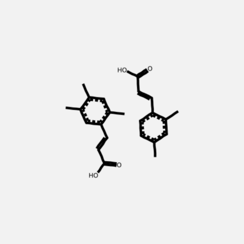 Cc1cc(C)c(C=CC(=O)O)cc1C.Cc1ccc(C=CC(=O)O)c(C)c1